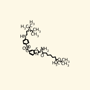 CC(C)N(CCNc1ccc(S(=O)(=O)Oc2ccc3nc(N(N)C(=O)CCCCCC(=O)OC(C)(C)C)sc3c2)cc1)C(C)C